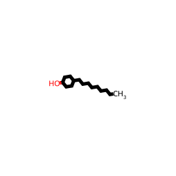 CCCCCCCCCC1CCC(O)CC1